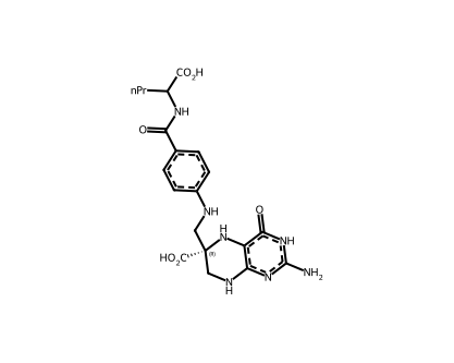 CCCC(NC(=O)c1ccc(NC[C@]2(C(=O)O)CNc3nc(N)[nH]c(=O)c3N2)cc1)C(=O)O